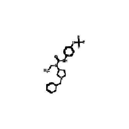 CCN(C(=O)Nc1ccc(OC(F)(F)F)cc1)C1CCN(CC2C=CC=CC2)C1